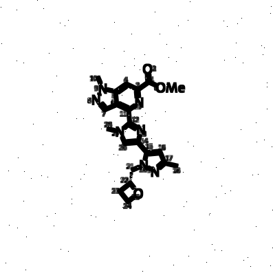 COC(=O)c1cc2c(cnn2C)c(-c2nc(-c3cc(C)nn3C[C@H]3CCO3)cn2C)n1